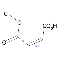 O=C(O)/C=C\C(=O)OCl